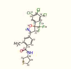 Cc1cc(C2=NOC(c3cc(Cl)c(Cl)c(Cl)c3)(C(F)(F)F)C2)ccc1C(=O)NC1CCSC1